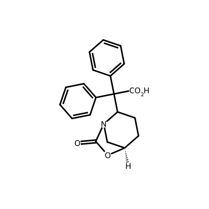 O=C1O[C@@H]2CCC(C(C(=O)O)(c3ccccc3)c3ccccc3)N1C2